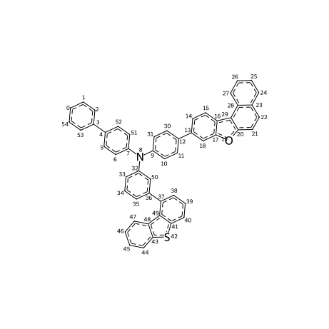 c1ccc(-c2ccc(N(c3ccc(-c4ccc5c(c4)oc4ccc6ccccc6c45)cc3)c3cccc(-c4cccc5sc6ccccc6c45)c3)cc2)cc1